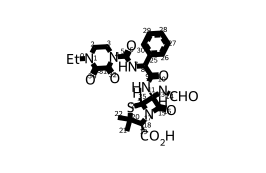 CCN1CCN(C(=O)NC(C(=O)N[C@]2(NC=O)C(=O)N3[C@@H](C(=O)O)C(C)(C)S[C@@H]32)c2ccccc2)C(=O)C1=O